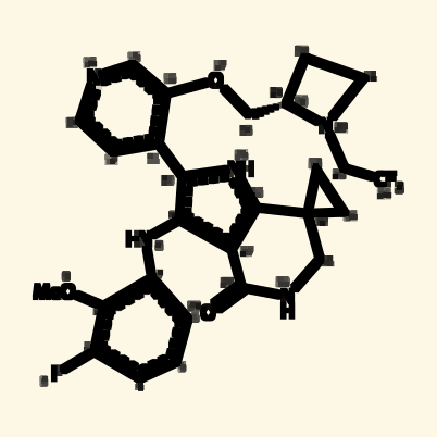 COc1c(F)cccc1Nc1c(-c2ccncc2OC[C@@H]2CCN2CC(F)(F)F)[nH]c2c1C(=O)NCC21CC1